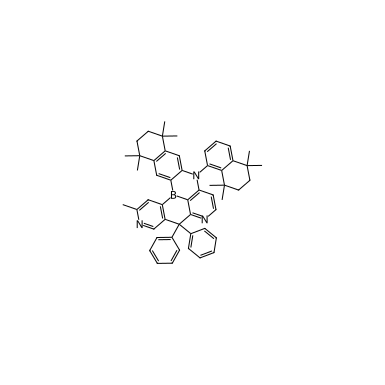 Cc1cc2c(cn1)C(c1ccccc1)(c1ccccc1)c1nccc3c1B2c1cc2c(cc1N3c1cccc3c1C(C)(C)CCC3(C)C)C(C)(C)CCC2(C)C